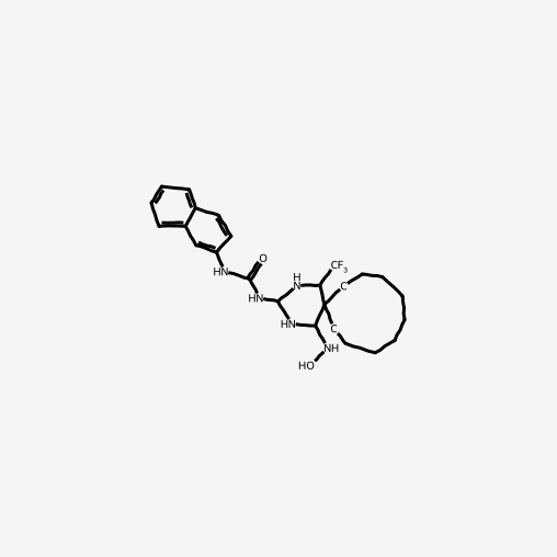 O=C(Nc1ccc2ccccc2c1)NC1NC(NO)C2(CCCCCCCCC2)C(C(F)(F)F)N1